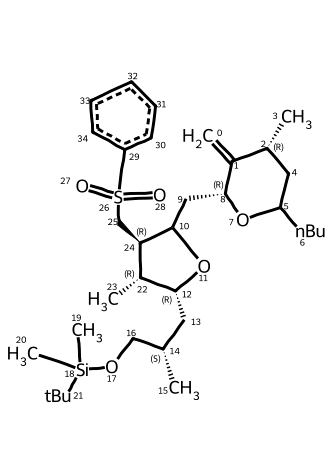 C=C1[C@H](C)CC(CCCC)O[C@@H]1CC1O[C@H](C[C@H](C)CO[Si](C)(C)C(C)(C)C)[C@H](C)[C@H]1CS(=O)(=O)c1ccccc1